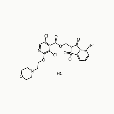 CC(C)c1cccc2c1C(=O)N(COC(=O)c1c(Cl)cnc(OCCN3CCOCC3)c1Cl)S2(=O)=O.Cl